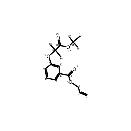 C=CCOC(=O)c1cccc(OC(C)(C)C(=O)OC(C)(C)C)c1